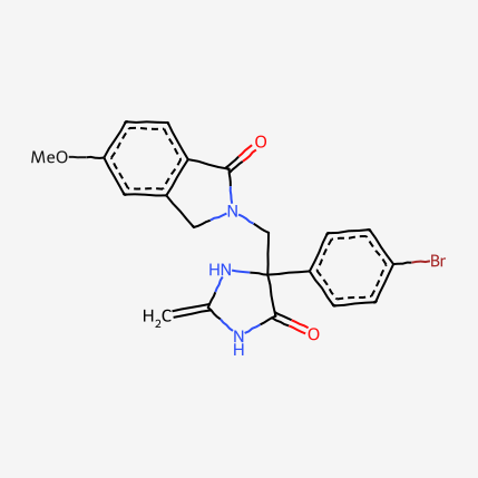 C=C1NC(=O)C(CN2Cc3cc(OC)ccc3C2=O)(c2ccc(Br)cc2)N1